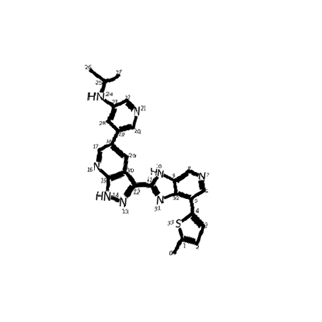 Cc1ccc(-c2cncc3[nH]c(-c4n[nH]c5ncc(-c6cncc(NC(C)C)c6)cc45)nc23)s1